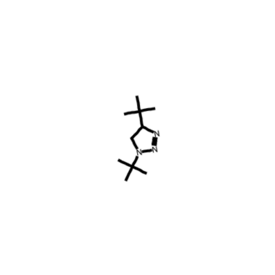 CC(C)(C)C1CN(C(C)(C)C)N=N1